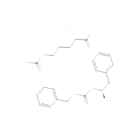 N=C(N)NCCC[C@H](N)C(N)=O.O=C(N[C@@H](Cc1ccccc1)C(=O)O)OCc1ccccc1